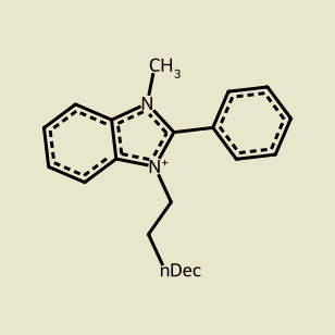 CCCCCCCCCCCC[n+]1c(-c2ccccc2)n(C)c2ccccc21